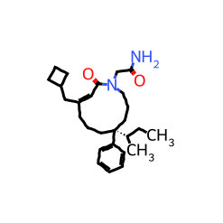 CCC(C)[C@]1(c2ccccc2)CCC/C(CC2CCC2)=C/C(=O)N(CC(N)=O)CCC1